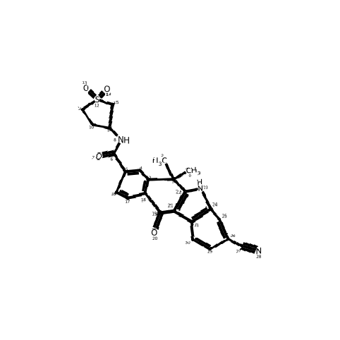 CC1(C)c2cc(C(=O)NC3CCS(=O)(=O)C3)ccc2C(=O)c2c1[nH]c1cc(C#N)ccc21